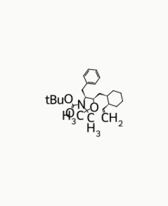 C=C[C@@H]1CCCC[C@@H]1C[C@H]1OC(C)(C)N(C(=O)OC(C)(C)C)[C@H]1Cc1ccccc1